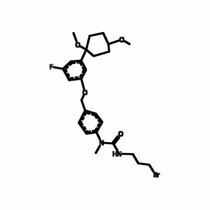 COC1CCC(OC)(c2cc(F)cc(OCc3ccc(N(C)C(=O)NCCCBr)cc3)c2)CC1